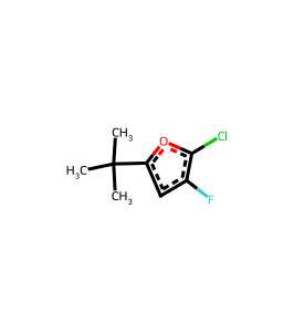 CC(C)(C)c1cc(F)c(Cl)o1